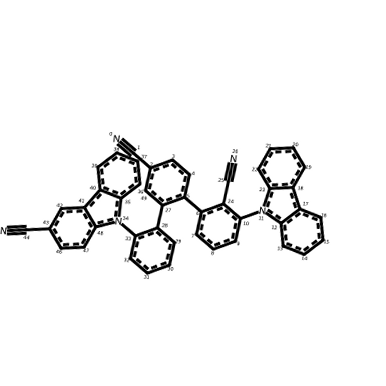 N#Cc1ccc(-c2cccc(-n3c4ccccc4c4ccccc43)c2C#N)c(-c2ccccc2-n2c3ccccc3c3cc(C#N)ccc32)c1